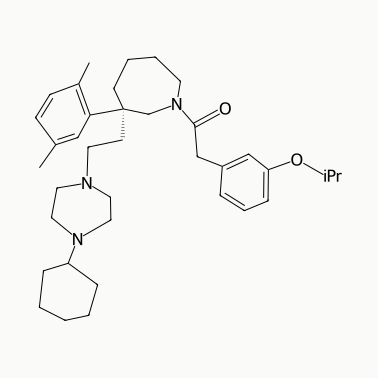 Cc1ccc(C)c([C@@]2(CCN3CCN(C4CCCCC4)CC3)CCCCN(C(=O)Cc3cccc(OC(C)C)c3)C2)c1